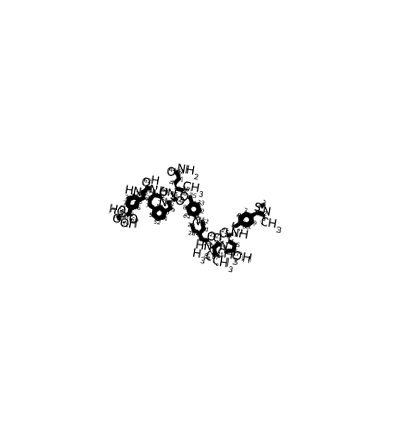 Cc1ncsc1-c1ccc(CNC(=O)[C@@H]2C[C@@H](O)CN2C(=O)[C@@H](NC(=O)CC2CCN(c3ccc(CO[C@H](C)[C@H](CCC(N)=O)NC(=O)[C@@H]4Cc5cccc6c5N4C(=O)[C@@H](NC(=O)c4cc5cc(C(=O)P(=O)(O)O)ccc5[nH]4)CC6)cc3)CC2)C(C)(C)C)cc1